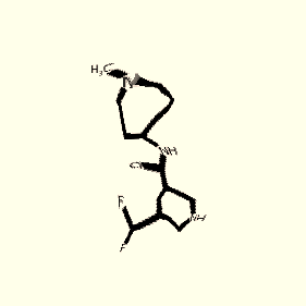 CN1CCC(NC(=O)C2CNCC2C(F)F)CC1